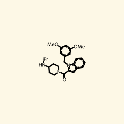 COc1cc(Cn2c(C(=O)N3CCC(NC(C)C)CC3)cc3ccccc32)cc(OC)c1